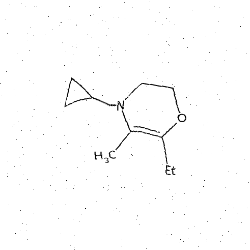 CCC1=C(C)N(C2CC2)CCO1